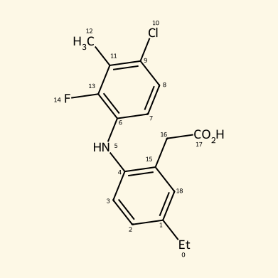 CCc1ccc(Nc2ccc(Cl)c(C)c2F)c(CC(=O)O)c1